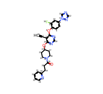 C#Cc1c(Oc2ccc(-n3cncn3)cc2F)ncnc1OC1CCN(C(=O)CCc2ccccn2)CC1